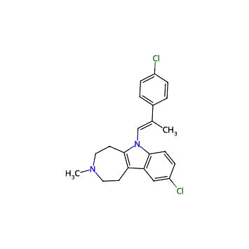 C/C(=C\n1c2c(c3cc(Cl)ccc31)CCN(C)CC2)c1ccc(Cl)cc1